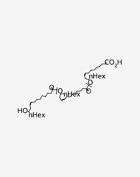 CCCCCCC(O)C/C=C\CCCCCCCC(=O)C(C)(C)OC(C/C=C\CCCCCCCC(=O)C(C)(C)OC(C/C=C\CCCCCCCC(=O)O)CCCCCC)CCCCCC